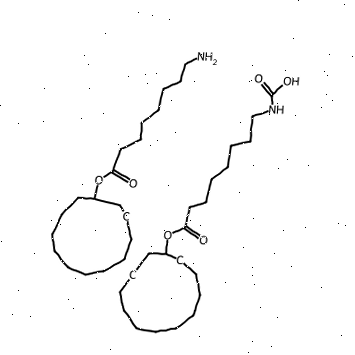 NCCCCCCCC(=O)OC1CCCCCCCCCCC1.O=C(O)NCCCCCCCC(=O)OC1CCCCCCCCCCC1